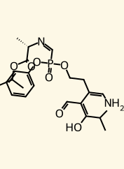 CC(C)OC(=O)[C@H](C)/N=C\P(=O)(OCCC(=C/N)/C(C=O)=C(/O)C(C)C)Oc1ccccc1